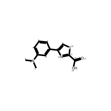 CN(C)c1cccc(-c2csc(C(=O)O)n2)c1